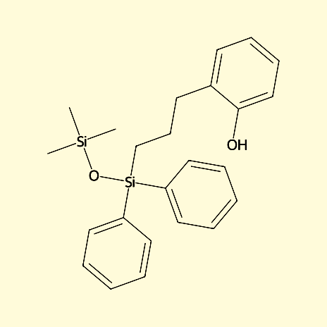 C[Si](C)(C)O[Si](CCCc1ccccc1O)(c1ccccc1)c1ccccc1